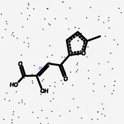 Cc1ccc(C(=O)/C=C(\O)C(=O)O)o1